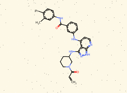 C=CC(=O)N1CCCC(Nc2n[nH]c3nccc(Nc4cccc(C(=O)Nc5ccc(C(C)C)c(C)c5)c4)c23)C1